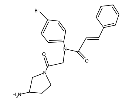 NC1CCN(C(=O)CN(C(=O)C=Cc2ccccc2)c2ccc(Br)cc2)C1